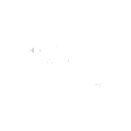 O=C(O)Oc1cc2cc(Br)ccc2s1